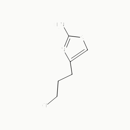 Nc1nc(CCCCl)cs1